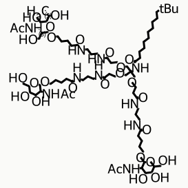 CC(=O)NC1C(OCCCCC(=O)NCCCNC(=O)CCOCC(COCCC(=O)NCCCNC(=O)CCCCOC2OC(CO)C(O)C(O)C2NC(C)=O)(COCCC(=O)NCCCNC(=O)CCCCOC(OC(CO)[C@H](C)O)[C@H](CO)NC(C)=O)NC(=O)CCCCCCCCCCC(C)(C)C)OC(CO)C(O)C1O